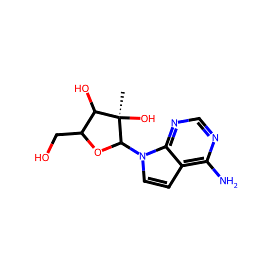 C[C@@]1(O)C(O)C(CO)OC1n1ccc2c(N)ncnc21